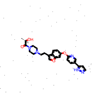 C[C@H](O)C(=O)N1CCN(CCc2coc3cc(Oc4ccc(-c5ccn[nH]5)cn4)ccc23)CC1